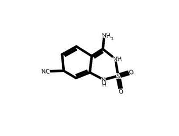 N#CC1C=CC2=C(N)NS(=O)(=O)NC2=C1